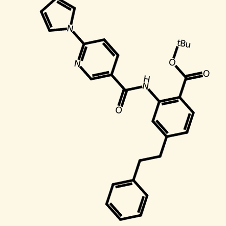 CC(C)(C)OC(=O)c1ccc(CCc2ccccc2)cc1NC(=O)c1ccc(-n2cccc2)nc1